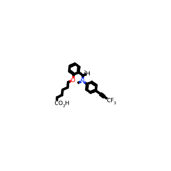 [2H]C(c1ccccc1OCCCCCC(=O)O)N(C)c1ccc(C#CC(F)(F)F)cc1